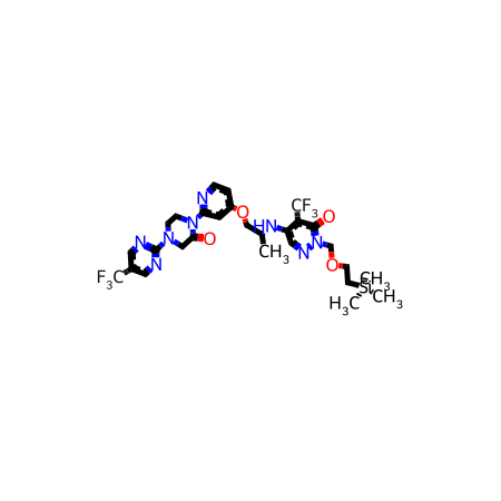 CC(COc1ccnc(N2CCN(c3ncc(C(F)(F)F)cn3)CC2=O)c1)Nc1cnn(COCC[Si](C)(C)C)c(=O)c1C(F)(F)F